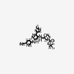 Cn1cc(-c2nnc(Nc3ccc(C#N)nc3)cc2NCC2CN(C(=O)OC(C)(C)C)CCO2)cn1